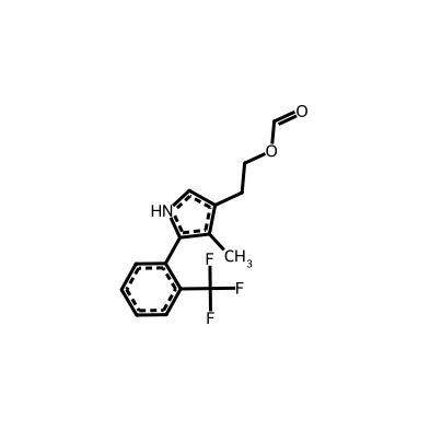 Cc1c(CCOC=O)c[nH]c1-c1ccccc1C(F)(F)F